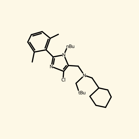 CCCCn1c(-c2c(C)cccc2C)nc(Cl)c1CN(CC1CCCCC1)CC(C)(C)C